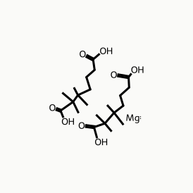 CC(C)(CCCC(=O)O)C(C)(C)C(=O)O.CC(C)(CCCC(=O)O)C(C)(C)C(=O)O.[Mg]